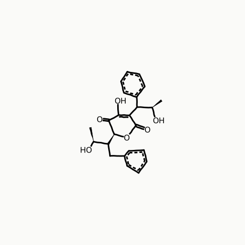 C[C@H](O)C(Cc1ccccc1)[C@@H]1OC(=O)C(C(c2ccccc2)[C@@H](C)O)=C(O)C1=O